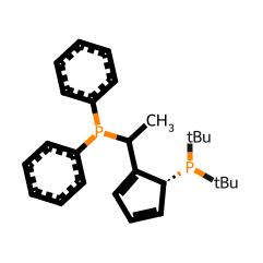 CC(C1=CC=C[C@H]1P(C(C)(C)C)C(C)(C)C)P(c1ccccc1)c1ccccc1